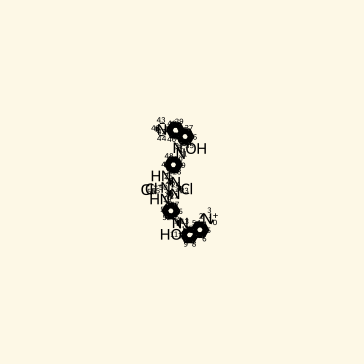 C[N+](C)(C)c1ccc2ccc(O)c(/N=N/c3ccc(Nc4nc(Cl)nc(Nc5ccc(/N=N/c6c(O)ccc7ccc([N+](C)(C)C)cc67)cc5)n4)cc3)c2c1.[Cl-].[Cl-]